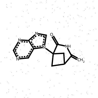 C=C1NC(=O)C2(n3cnc4ncncc43)CC1C2